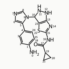 Nc1ccc(-c2cncn2C2NNc3nc(NC(=O)C4CC4)sc32)cc1